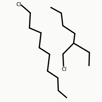 CCCCC(CC)CCl.CCCCCCCCCCl